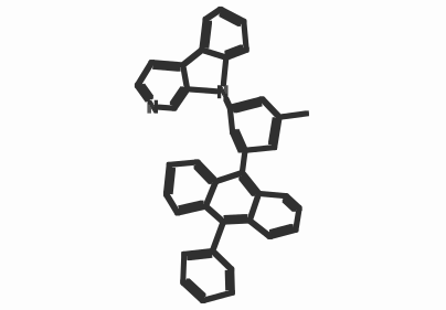 Cc1cc(-c2c3ccccc3c(-c3ccccc3)c3ccccc23)cc(-n2c3ccccc3c3ccncc32)c1